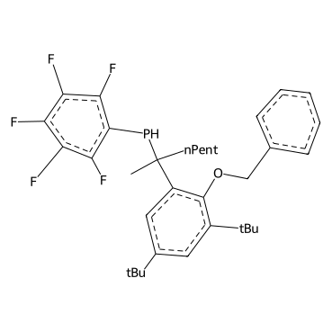 CCCCCC(C)(Pc1c(F)c(F)c(F)c(F)c1F)c1cc(C(C)(C)C)cc(C(C)(C)C)c1OCc1ccccc1